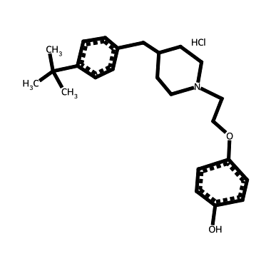 CC(C)(C)c1ccc(CC2CCN(CCOc3ccc(O)cc3)CC2)cc1.Cl